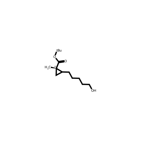 CC(C)(C)OC(=O)[C@@]1(C)CC1CCCCCO